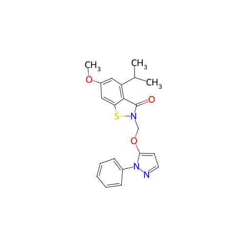 COc1cc(C(C)C)c2c(=O)n(COc3ccnn3-c3ccccc3)sc2c1